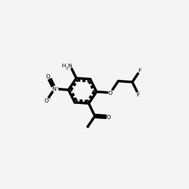 CC(=O)c1cc([N+](=O)[O-])c(N)cc1OCC(F)F